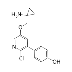 NC1(COc2cnc(Cl)c(-c3ccc(O)cc3)c2)CC1